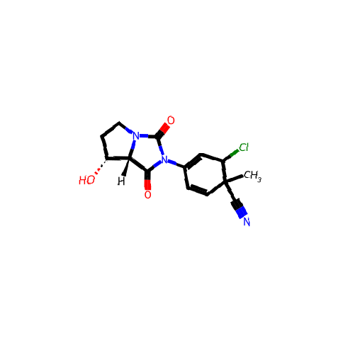 CC1(C#N)C=CC(N2C(=O)[C@@H]3[C@H](O)CCN3C2=O)=CC1Cl